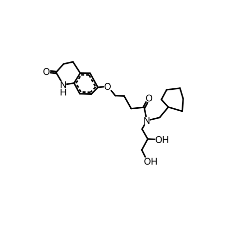 O=C1CCc2cc(OCCCC(=O)N(CC(O)CO)CC3CCCCC3)ccc2N1